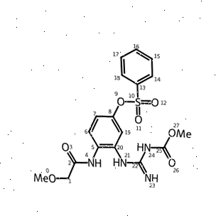 COCC(=O)Nc1ccc(OS(=O)(=O)c2ccccc2)cc1NC(=N)NC(=O)OC